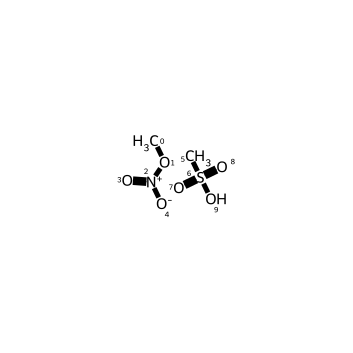 CO[N+](=O)[O-].CS(=O)(=O)O